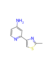 Cc1nc(-c2cc(N)ccn2)cs1